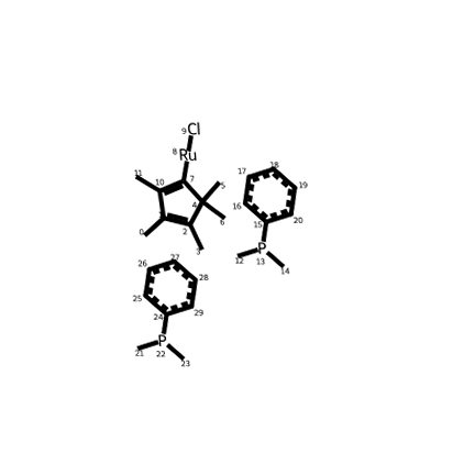 CC1=C(C)C(C)(C)[C]([Ru][Cl])=C1C.CP(C)c1ccccc1.CP(C)c1ccccc1